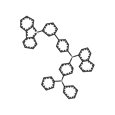 c1ccc(N(c2ccccc2)c2ccc(N(c3ccc(-c4cccc(-n5c6ccccc6c6ccccc65)c4)cc3)c3cccc4ccccc34)cc2)cc1